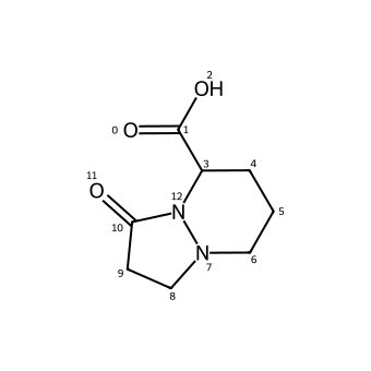 O=C(O)C1CCCN2CCC(=O)N12